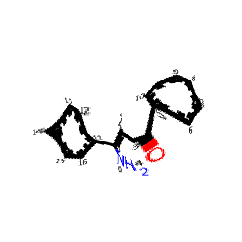 N/C(=C\C(=O)c1ccccc1)c1ccccc1